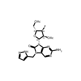 CC(=O)OC[C@H]1O[C@@H](n2c(=O)n(Cc3ccn[nH]3)c3cnc(N)nc32)[C@H](OC(C)=O)[C@@H]1F